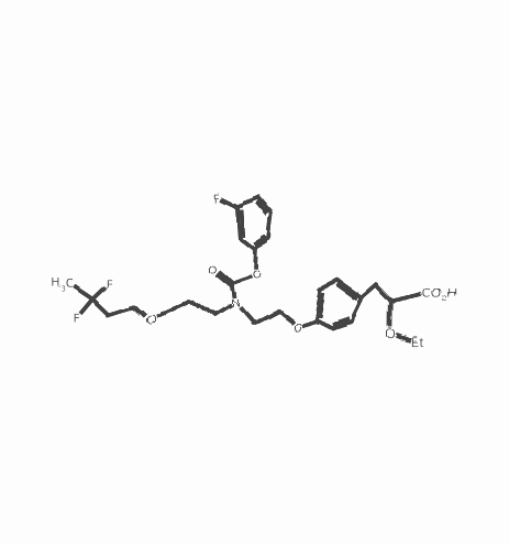 CCOC(Cc1ccc(OCCN(CCOCCC(C)(F)F)C(=O)Oc2cccc(F)c2)cc1)C(=O)O